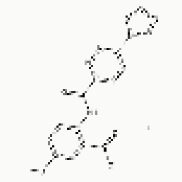 COc1ccc(NC(=O)c2ccc(-n3ccnc3)nn2)c(C(=O)[O-])c1.[Li+]